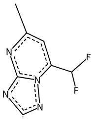 Cc1cc(C(F)F)n2n[c]nc2n1